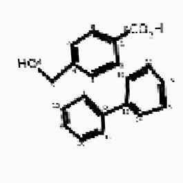 O=C(O)c1ccc(CO)cc1.c1ccc(-c2ccccc2)cc1